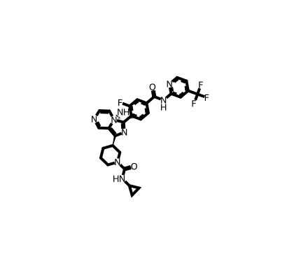 N[N+]12C=CN=CC1=C([C@@H]1CCCN(C(=O)NC3CC3)C1)N=C2c1ccc(C(=O)Nc2cc(C(F)(F)F)ccn2)cc1F